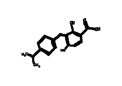 CC(C)c1ccc(Cc2c(O)ccc(C(=O)O)c2O)cc1